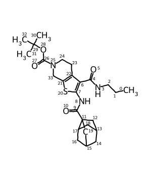 CCCNC(=O)c1c(NC(=O)C23CC4CC(CC2C4)C3)sc2c1CCN(C(=O)OC(C)(C)C)C2